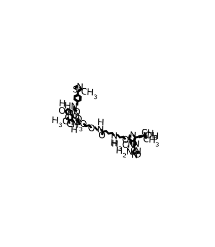 CCn1c(-c2nonc2N)nc2c(C#CC(C)(C)O)ncc(OCCCNCCCC(=O)NCCOCCOCC(=O)NC(C(=O)N3C[C@H](O)C[C@H]3C(=O)NCc3ccc(-c4scnc4C)cc3)C(C)(C)C)c21